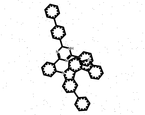 c1ccc(C2=NC(c3ccccc3-n3c4ccc(-c5ccccc5)cc4c4c5c(ccc43)sc3ccccc35)=NC(c3ccc(-c4ccccc4)cc3)N2)cc1